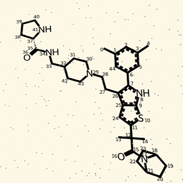 Cc1cc(C)cc(-c2[nH]c3sc(C(C)(C)C(=O)N4C5CCC4CC5)cc3c2CCN2CCC(CNC(=O)[C@@H]3CCCN3)CC2)c1